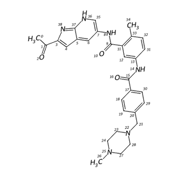 CC(=O)c1cc2cc(NC(=O)c3cc(NC(=O)c4ccc(CN5CCN(C)CC5)cc4)ccc3C)c[nH]c-2n1